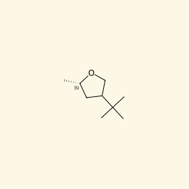 C[C@H]1CC(C(C)(C)C)CO1